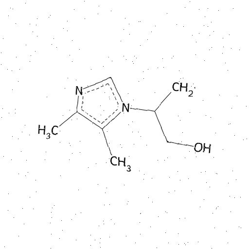 [CH2]C(CO)n1cnc(C)c1C